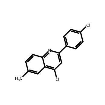 Cc1ccc2nc(-c3ccc(Cl)cc3)cc(Cl)c2c1